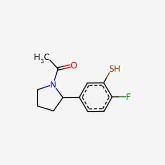 CC(=O)N1CCCC1c1ccc(F)c(S)c1